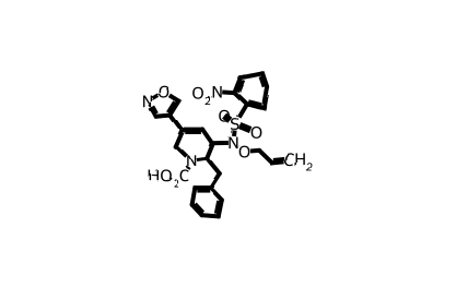 C=CCON(C1C=C(c2cnoc2)CN(C(=O)O)C1Cc1ccccc1)S(=O)(=O)c1ccccc1[N+](=O)[O-]